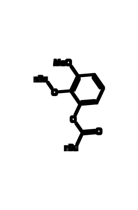 CCCCOc1c(OC)cccc1OC(=O)CCCC